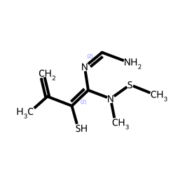 C=C(C)/C(S)=C(\N=C/N)N(C)SC